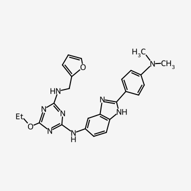 CCOc1nc(NCc2ccco2)nc(Nc2ccc3[nH]c(-c4ccc(N(C)C)cc4)nc3c2)n1